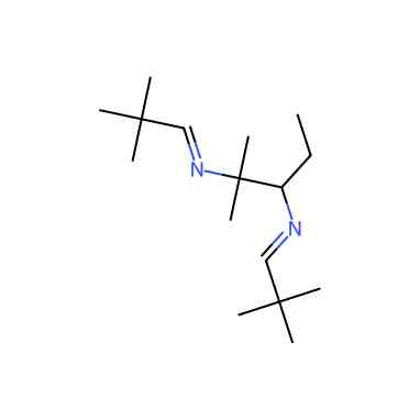 CCC(/N=C/C(C)(C)C)C(C)(C)/N=C/C(C)(C)C